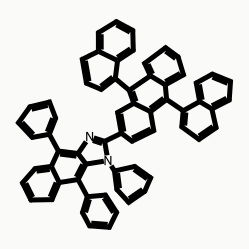 c1ccc(-c2c3ccccc3c(-c3ccccc3)c3c2nc(-c2ccc4c(-c5cccc6ccccc56)c5ccccc5c(-c5cccc6ccccc56)c4c2)n3-c2ccccc2)cc1